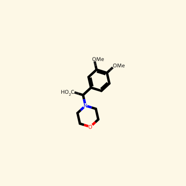 COc1ccc(C(C(=O)O)N2CCOCC2)cc1OC